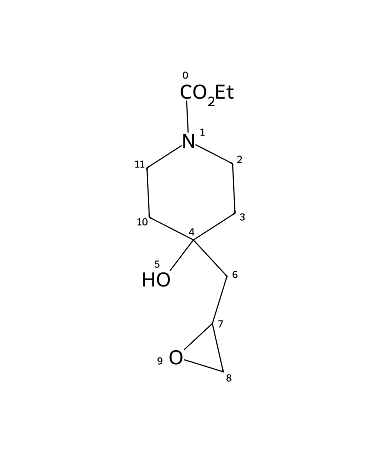 CCOC(=O)N1CCC(O)(CC2CO2)CC1